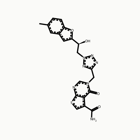 Cc1ccc2oc([C@@H](O)Cn3nnc(Cn4cnc5scc(C(N)=O)c5c4=O)n3)cc2c1